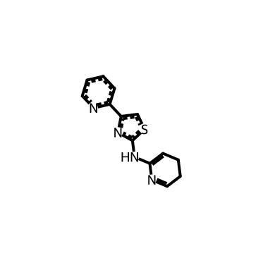 C1=NC(Nc2nc(-c3ccccn3)cs2)=CCC1